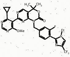 CCn1cc(C(F)(F)F)nc1-c1ccc(CN2C(=O)OC(C)(C)c3cnc(-c4c(OC)ncnc4C4CC4)nc32)cc1F